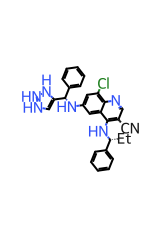 CC[C@@H](Nc1c(C#N)cnc2c(Cl)cc(N[C@H](C3=CNNN3)c3ccccc3)cc12)c1ccccc1